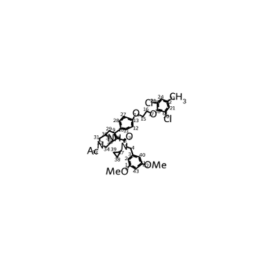 COc1cc(CN(C(=O)C2=C(c3ccc(OCCOc4c(Cl)cc(C)cc4Cl)cc3)CC3CN(C(C)=O)CC2N3)C2CC2)cc(OC)c1